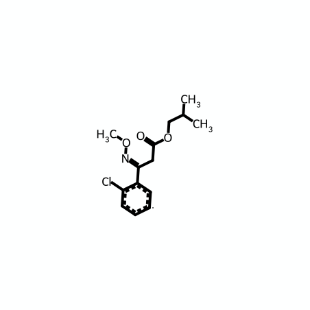 CON=C(CC(=O)OCC(C)C)c1c[c]ccc1Cl